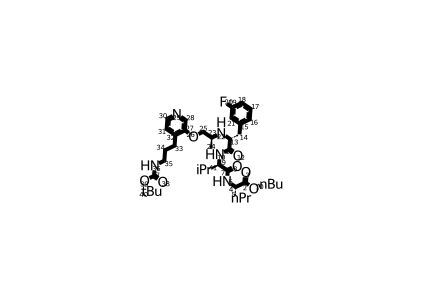 CCCCOC(=O)[C@H](CCC)NC(=O)[C@H](NC(=O)[C@@H](Cc1cccc(F)c1)N[C@@H](C)COc1cnccc1CCCNC(=O)OC(C)(C)C)C(C)C